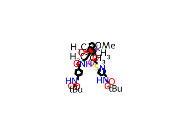 CO[C@@H]1CC[C@@]23CC[C@@H](C)[C@@](C)([C@H](OC(=O)CSc4ccc(CNC(=O)OC(C)(C)C)cn4)C[C@](C)(CCNC(=O)c4ccc(CNC(=O)OC(C)(C)C)cc4)C(=O)[C@@H]2C)[C@]13I